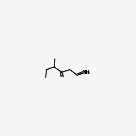 CCC(C)NCC=N